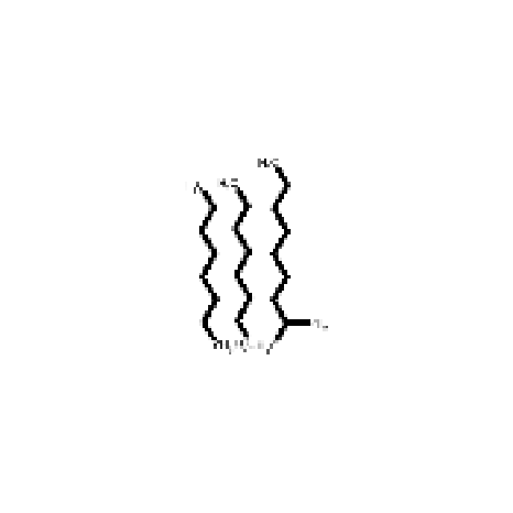 CCCCCCCC.CCCCCCCC.CCCCCCCC(C)P